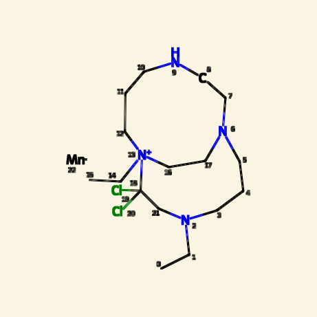 CCN1CCCN2CCNCCC[N+](CC)(CC2)C(Cl)(Cl)C1.[Mn]